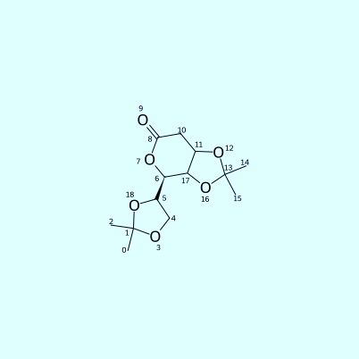 CC1(C)OCC([C@H]2OC(=O)CC3OC(C)(C)OC32)O1